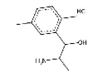 Cc1ccc(C)c(C(O)C(C)N)c1.Cl